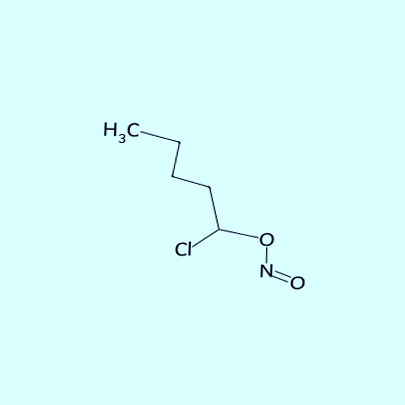 CCCCC(Cl)ON=O